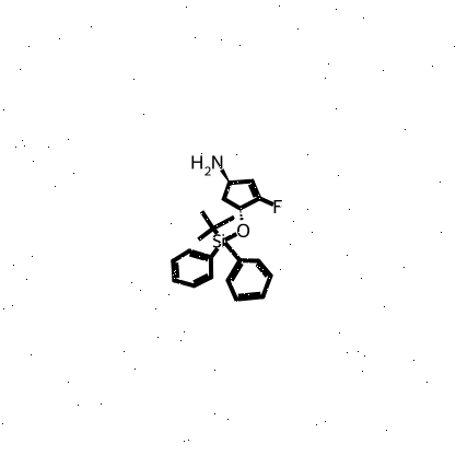 CC(C)(C)[Si](O[C@@H]1C[C@@H](N)C=C1F)(c1ccccc1)c1ccccc1